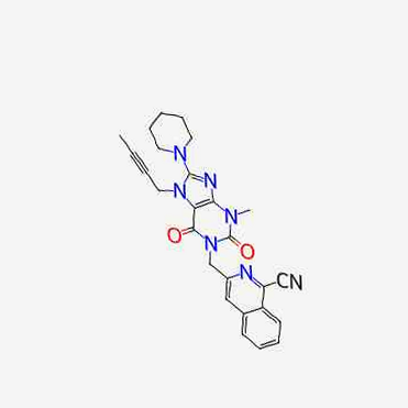 CC#CCn1c(N2CCCCC2)nc2c1c(=O)n(Cc1cc3ccccc3c(C#N)n1)c(=O)n2C